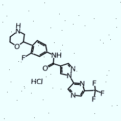 Cl.O=C(Nc1ccc(C2CNCCO2)c(F)c1)c1cnn(-c2cncc(C(F)(F)F)n2)c1